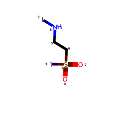 O=S(=O)(I)CCNI